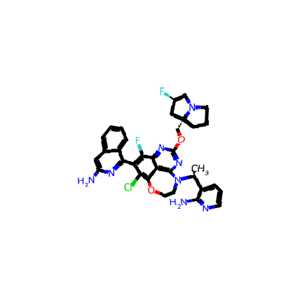 C[C@H](c1cccnc1N)N1CCOc2c(Cl)c(-c3nc(N)cc4ccccc34)c(F)c3nc(OC[C@@]45CCCN4C[C@H](F)C5)nc1c23